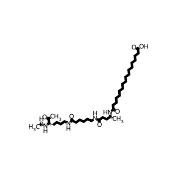 CBN[C@@H](CCCCNC(=O)CCCCCNC(=O)CC[C@@H](C)NC(=O)CCCCCCCCCCCCCCCCC(=O)O)C(C)=O